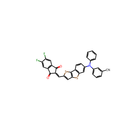 N#Cc1cccc(N(c2ccccc2)c2ccc3c(c2)sc2cc(C=C4C(=O)c5cc(F)c(F)cc5C4=O)sc23)c1